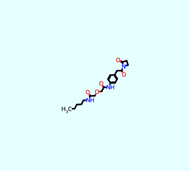 CCCCCNC(=O)COCC(=O)Nc1ccc(CC(=O)N2CCC2=O)cc1